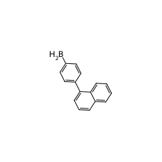 Bc1ccc(-c2cccc3ccccc23)cc1